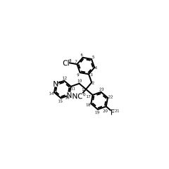 N#CC(Cc1cccc(Cl)c1)(Cc1cnccn1)c1ccc(F)cc1